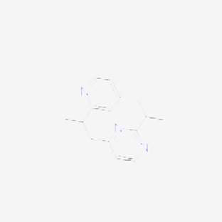 CC(C)c1nccc(CC(C)c2ccccn2)n1